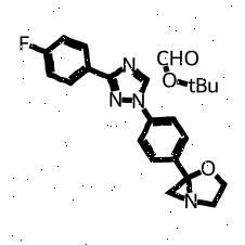 CC(C)(C)OC=O.Fc1ccc(-c2ncn(-c3ccc(C45CN4CCO5)cc3)n2)cc1